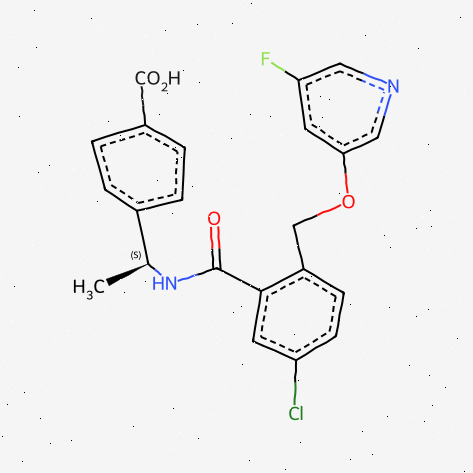 C[C@H](NC(=O)c1cc(Cl)ccc1COc1cncc(F)c1)c1ccc(C(=O)O)cc1